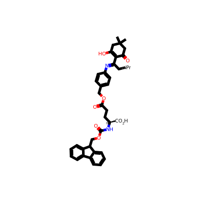 CC(C)CC(=Nc1ccc(COC(=O)CC[C@H](NC(=O)OCC2c3ccccc3-c3ccccc32)C(=O)O)cc1)C1=C(O)CC(C)(C)CC1=O